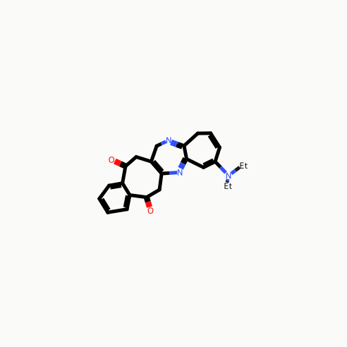 CCN(CC)C1=CC2=NC3=C(CN=C2CC=C1)CC(=O)c1ccccc1C(=O)C3